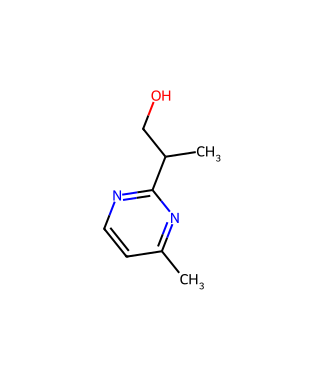 Cc1ccnc(C(C)CO)n1